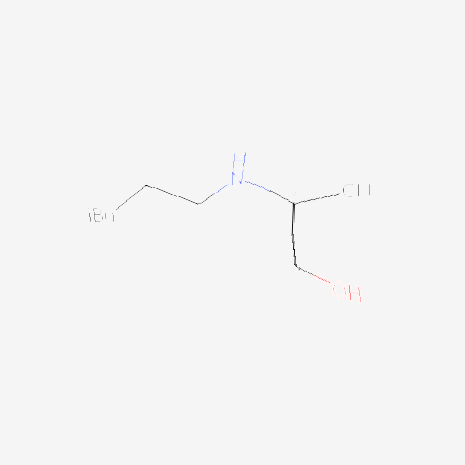 CCC(C)CCNC(C)[C]O